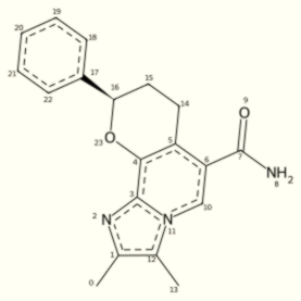 Cc1nc2c3c(c(C(N)=O)cn2c1C)CC[C@H](c1ccccc1)O3